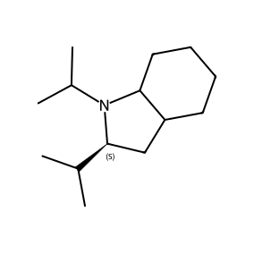 CC(C)[C@@H]1CC2CCCCC2N1C(C)C